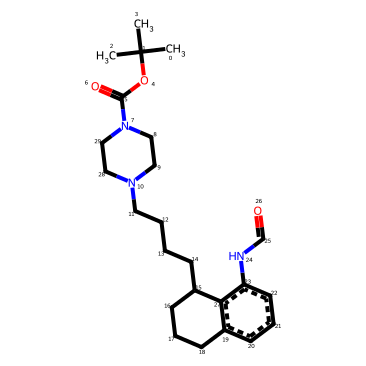 CC(C)(C)OC(=O)N1CCN(CCCCC2CCCc3cccc(NC=O)c32)CC1